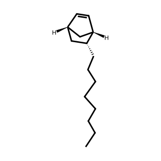 CCCCCCCC[C@@H]1C[C@@H]2C=C[C@H]1C2